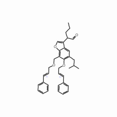 CCCC(C=O)c1coc2c(COC/C=C/c3ccccc3)c(OC/C=C/c3ccccc3)c(CC(C)C)cc12